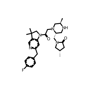 C[C@H]1CC(=O)N(C[C@H]2CN[C@H](C)CN2CC(=O)N2CC(C)(C)c3cnc(Cc4ccc(F)cc4)cc32)C1